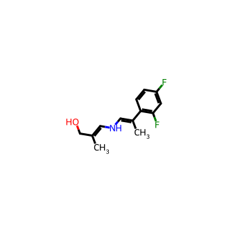 C/C(=C\N/C=C(\C)c1ccc(F)cc1F)CO